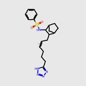 O=S(=O)(NC1C2CCC(C2)C1C/C=C\CCCc1nnn[nH]1)c1ccccc1